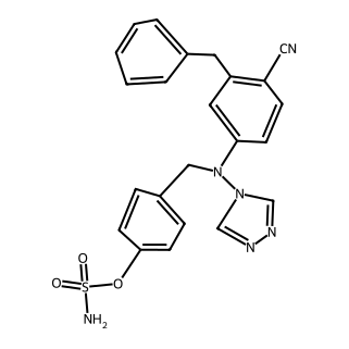 N#Cc1ccc(N(Cc2ccc(OS(N)(=O)=O)cc2)n2cnnc2)cc1Cc1ccccc1